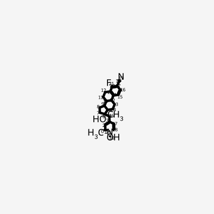 CC1C=C(C[C@]2(O)CCC3C4CCc5c(ccc(C#N)c5F)C4CC[C@@]32C)C=CN1O